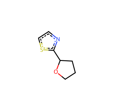 c1csc(C2CCCO2)n1